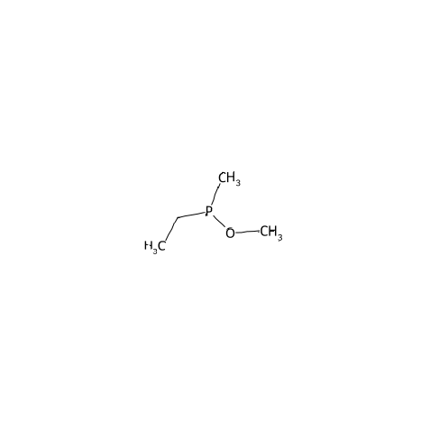 CCP(C)OC